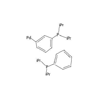 CC(C)P(c1ccc[c]([Pd])c1)C(C)C.CC(C)P(c1ccccc1)C(C)C